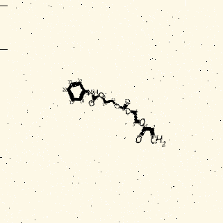 C=CC(=O)OCCOC(=O)OCCOC(=O)Nc1ccccc1